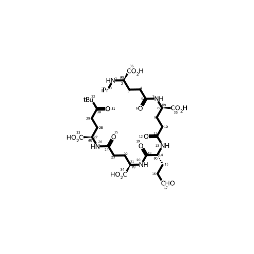 CC(C)N[C@H](CCC(=O)N[C@H](CCC(=O)N[C@H](CCC=O)C(=O)N[C@H](CCC(=O)N[C@H](CCC(=O)C(C)(C)C)C(=O)O)C(=O)O)C(=O)O)C(=O)O